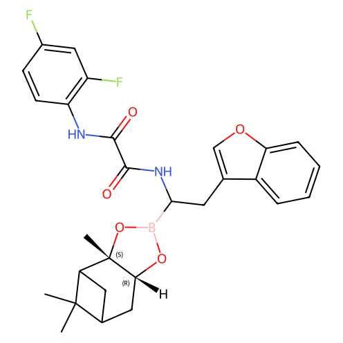 CC1(C)C2CC1[C@]1(C)OB(C(Cc3coc4ccccc34)NC(=O)C(=O)Nc3ccc(F)cc3F)O[C@@H]1C2